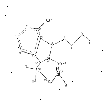 CCCCC1c2c(Cl)cccc2C(C(C)(C)C)N1O[SiH](C)C